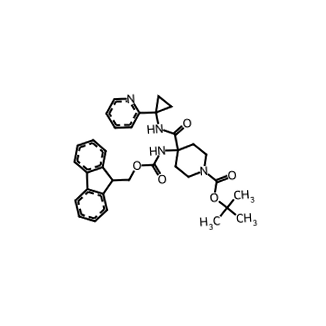 CC(C)(C)OC(=O)N1CCC(NC(=O)OCC2c3ccccc3-c3ccccc32)(C(=O)NC2(c3ccccn3)CC2)CC1